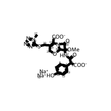 COC1(NC(=O)C(C(=O)[O-])c2ccc(O)cc2)C(=O)N2C(C(=O)[O-])=C(CSc3nnnn3C)COC21.[Na+].[Na+]